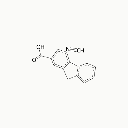 C#N.O=C(O)c1ccc2c(c1)Cc1ccccc1-2